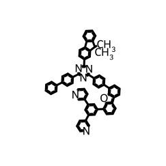 CC1(C)c2ccccc2-c2ccc(-c3nc(-c4ccc(-c5ccccc5)cc4)nc(-c4ccc(-c5cccc6c5oc5c(-c7cc(-c8cccnc8)cc(-c8cccnc8)c7)cccc56)cc4)n3)cc21